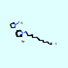 C=CCCCCCCCCC[n+]1cccc([C@@H]2CCCN2C)c1.[Br-]